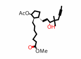 CC#CCC(C)(C)[C@H](O)/C=C/[C@H]1CC[C@H](OC(C)=O)[C@@H]1CCCCCCC(=O)OC